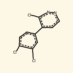 Clc1ccc(-c2ccnnc2Cl)cc1Cl